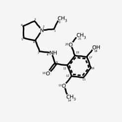 CCN1CCCC1CNC(=O)c1c(OC)ccc(O)c1OC